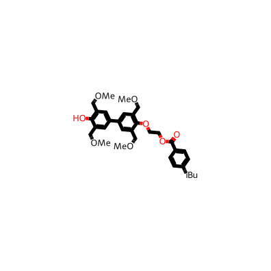 CCC(C)c1ccc(C(=O)OCCOc2c(COC)cc(-c3cc(COC)c(O)c(COC)c3)cc2COC)cc1